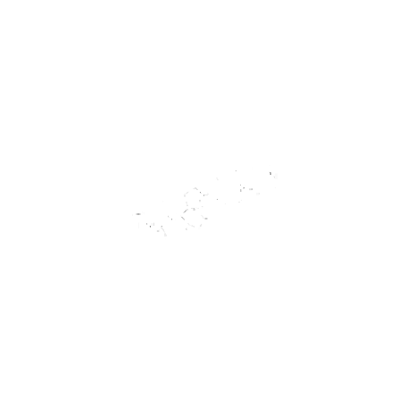 O=C1CCN(c2cccc3c2ccn3C2CCN(C3CCNCC3)CC2)C(=O)N1